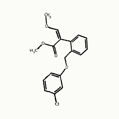 COC=C(C(=O)OC)c1ccccc1COc1cccc(Cl)c1